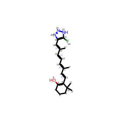 CC(/C=C/C1=C(O)CCCC1(C)C)=C\C=C\C(C)=C\c1nn[nH]c1F